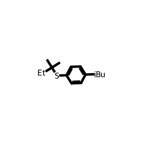 CCC(C)c1ccc(SC(C)(C)CC)cc1